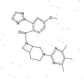 COc1ccc(C(=O)N2CC3CCN(c4nc(C)c(C)c(C)n4)CC32)c(-n2nccn2)c1